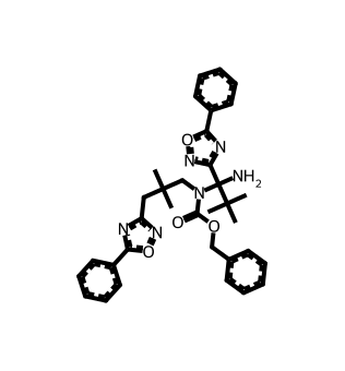 CC(C)(Cc1noc(-c2ccccc2)n1)CN(C(=O)OCc1ccccc1)C(N)(c1noc(-c2ccccc2)n1)C(C)(C)C